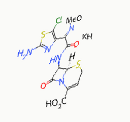 CO/N=C(/C(=O)N[C@@H]1C(=O)N2C(C(=O)O)=CCS[C@H]12)c1nc(N)sc1Cl.[KH]